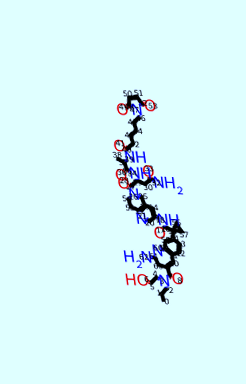 CCCN(CCO)C(=O)C1=Cc2ccc(C3(C(=O)Nc4cnc5c(c4)CN(C(=O)C(CC(N)=O)NC(=O)C(C)NC(=O)CCCCCN4C(=O)C=CC4=O)CC5)CC3)cc2N=C(N)C1